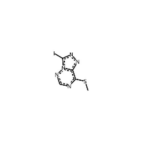 CSc1ncnn2c(I)nnc12